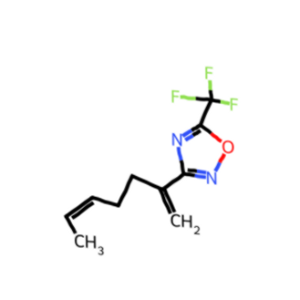 C=C(CC/C=C\C)c1noc(C(F)(F)F)n1